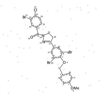 COc1ccc(COc2c(Br)cc(C3=NN(C(=O)c4ccc(Cl)c(Br)c4)CC3)cc2Br)cc1